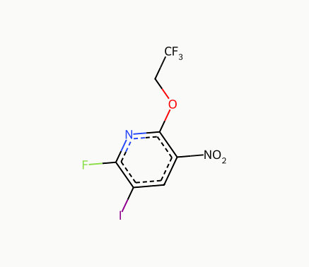 O=[N+]([O-])c1cc(I)c(F)nc1OCC(F)(F)F